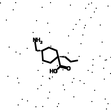 CCC[C@]1(C(=O)O)CC[C@H](CN)CC1